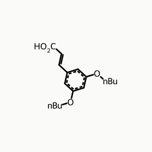 CCCCOc1cc(C=CC(=O)O)cc(OCCCC)c1